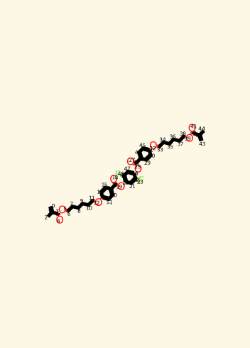 C=C(C)C(=O)OCCCCCCOc1ccc(C(=O)Oc2cc(F)c(OC(=O)c3ccc(OCCCCCCOC(=O)C(=C)C)cc3)cc2F)cc1